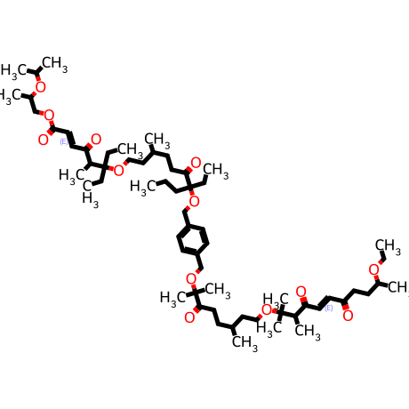 CCCC(CC)(OCc1ccc(COC(C)(C)C(=O)CCC(C)CCOC(C)(C)C(C)C(=O)/C=C/C(=O)CCC(C)OCC)cc1)C(=O)CCC(C)CCOC(CC)(CC)C(C)C(=O)/C=C/C(=O)OCC(C)OC(C)C